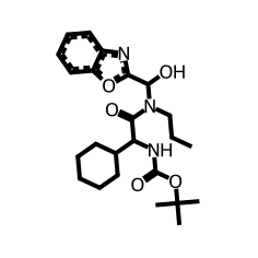 CCCN(C(=O)C(NC(=O)OC(C)(C)C)C1CCCCC1)C(O)c1nc2ccccc2o1